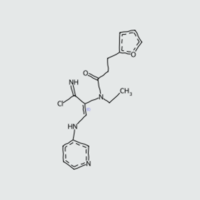 CCN(C(=O)CCc1ccco1)/C(=C/Nc1cccnc1)C(=N)Cl